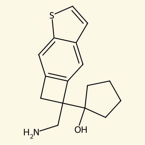 NCC1(C2(O)CCCC2)Cc2cc3sccc3cc21